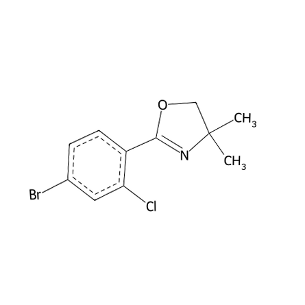 CC1(C)COC(c2ccc(Br)cc2Cl)=N1